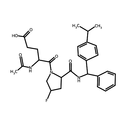 CC(=O)NC(CCC(=O)O)C(=O)N1CC(F)CC1C(=O)NC(c1ccccc1)c1ccc(C(C)C)cc1